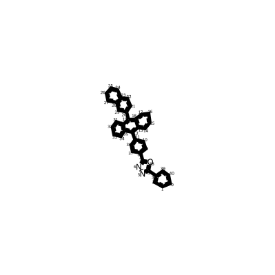 c1ccc(-c2nnc(-c3ccc(-c4c5ccccc5c(-c5ccc6ccccc6c5)c5ccccc45)cc3)o2)cc1